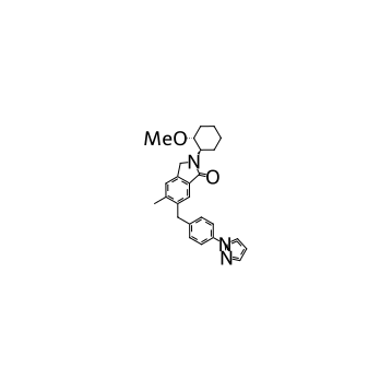 CO[C@@H]1CCCC[C@H]1N1Cc2cc(C)c(Cc3ccc(-n4cccn4)cc3)cc2C1=O